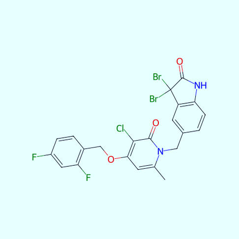 Cc1cc(OCc2ccc(F)cc2F)c(Cl)c(=O)n1Cc1ccc2c(c1)C(Br)(Br)C(=O)N2